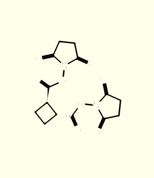 O=C(ON1C(=O)CCC1=O)[C@@H]1CC[C@H]1C(=O)ON1C(=O)CCC1=O